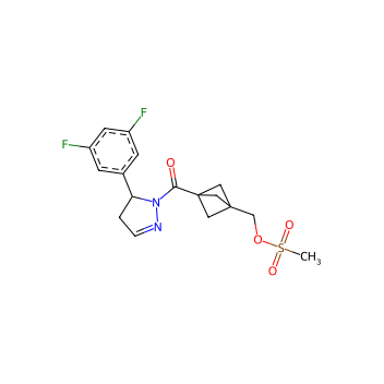 CS(=O)(=O)OCC12CC(C(=O)N3N=CCC3c3cc(F)cc(F)c3)(C1)C2